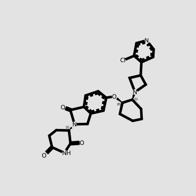 O=C1CC[C@H](N2Cc3cc(O[C@@H]4CCCC[C@@H]4N4CC(c5ccncc5Cl)C4)ccc3C2=O)C(=O)N1